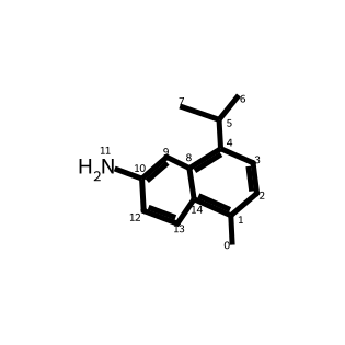 Cc1ccc(C(C)C)c2cc(N)ccc12